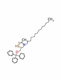 CCCCCCCCCCCCCCN(CC(S)COC(c1ccccc1)(c1ccccc1)c1ccccc1)C(C)=S